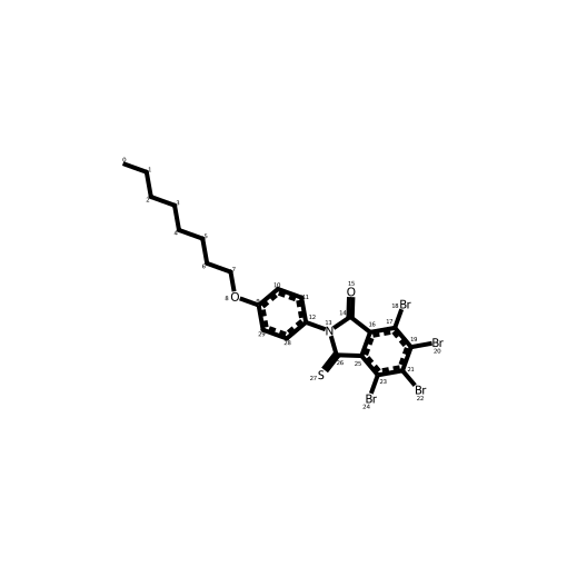 CCCCCCCCOc1ccc(N2C(=O)c3c(Br)c(Br)c(Br)c(Br)c3C2=S)cc1